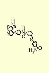 NC(=O)c1ccc(OCC2CCCN(C(=O)NC3CCN(c4ccnc5cnc6[nH]ccc6c45)CC3)C2)cc1